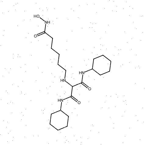 O=C(CCCCCNC(C(=O)NC1CCCCC1)C(=O)NC1CCCCC1)NO